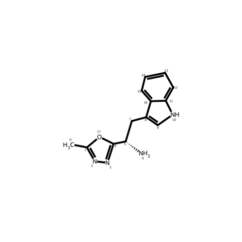 Cc1nnc([C@@H](N)Cc2c[nH]c3ccccc23)o1